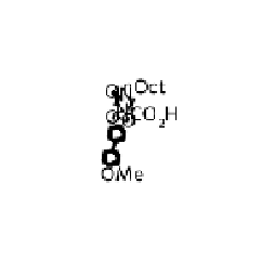 CCCCCCCCN1CC(C(=O)O)N(S(=O)(=O)c2ccc(-c3ccc(OC)cc3)cc2)CC1=O